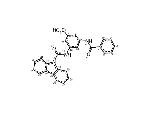 O=C(O)c1cc(NC(=O)c2ccccc2)cc(NC(=O)n2c3ccccc3c3ccccc32)c1